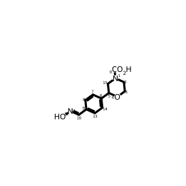 O=C(O)N1CCOC(c2ccc(C=NO)cc2)C1